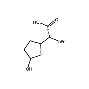 CCCC(C1CCC(O)C1)[PH](=O)O